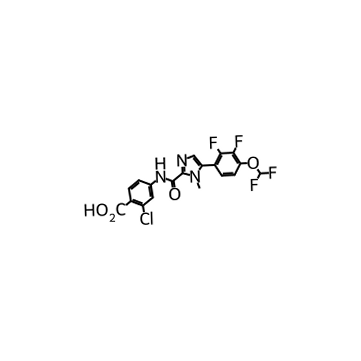 Cn1c(-c2ccc(OC(F)F)c(F)c2F)cnc1C(=O)Nc1ccc(C(=O)O)c(Cl)c1